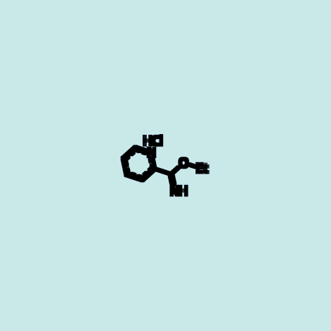 CCOC(=N)c1ccccn1.Cl